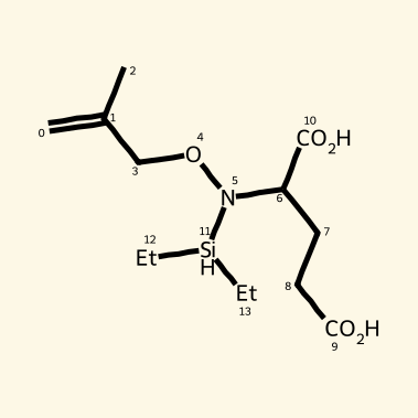 C=C(C)CON(C(CCC(=O)O)C(=O)O)[SiH](CC)CC